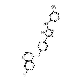 FC(F)(F)c1cccc(Nc2nnc(-c3ccc(Oc4ccnc5cc(Cl)ccc45)cc3)[nH]2)c1